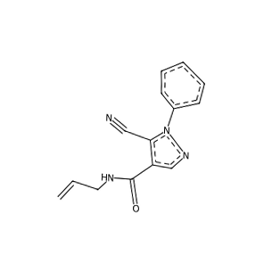 C=CCNC(=O)c1cnn(-c2ccccc2)c1C#N